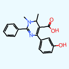 CC1C(C(=O)O)=C(c2cccc(O)c2)N=C(c2ccccc2)N1C